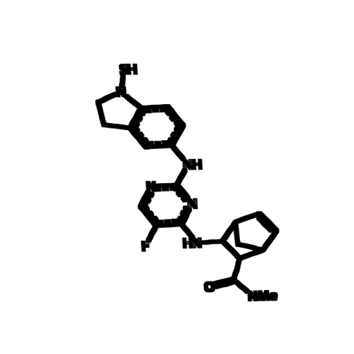 CNC(=O)C1C2C=CC(C2)C1Nc1nc(Nc2ccc3c(c2)CCN3S)ncc1F